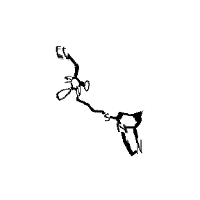 CC/C=C1\SC(=O)N(CCCCSc2cccc3nccn23)C1=O